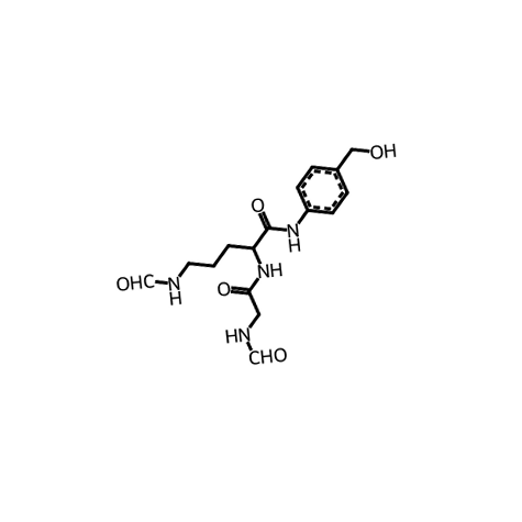 O=CNCCCC(NC(=O)CNC=O)C(=O)Nc1ccc(CO)cc1